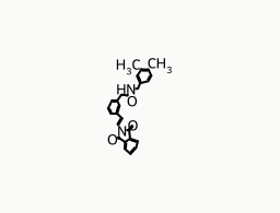 Cc1ccc(CNC(=O)Cc2cccc(C=CN3C(=O)c4ccccc4C3=O)c2)cc1C